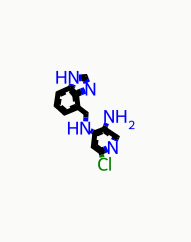 Nc1cnc(Cl)cc1NCc1cccc2[nH]cnc12